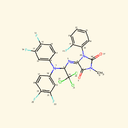 CN1C(=O)/C(=N\C(N(c2ccc(F)c(F)c2)c2ccc(F)c(F)c2)C(Cl)(Cl)Cl)N(c2ccccc2F)C1=O